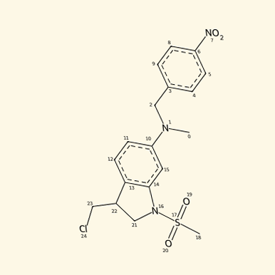 CN(Cc1ccc([N+](=O)[O-])cc1)c1ccc2c(c1)N(S(C)(=O)=O)CC2CCl